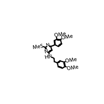 COc1ccc(CCNc2cc(-c3ccc(OC)c(OC)c3)nc(SC)n2)cc1OC